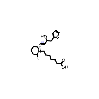 O=C(O)CCCCCCN1C(=O)CCC[C@@H]1/C=C/C(O)Cc1cccs1